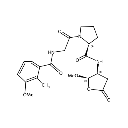 COc1cccc(C(=O)NCC(=O)N2CCC[C@H]2C(=O)N[C@H]2CC(=O)O[C@H]2OC)c1C